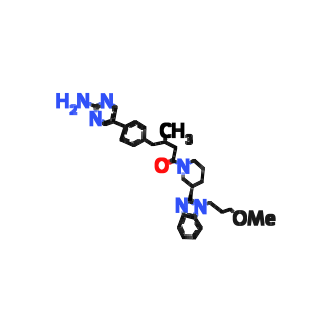 COCCCn1c([C@@H]2CCCN(C(=O)C[C@H](C)Cc3ccc(-c4cnc(N)nc4)cc3)C2)nc2ccccc21